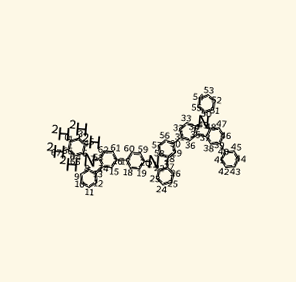 [2H]c1c([2H])c([2H])c(-n2c3ccccc3c3cc(-c4ccc(-n5c6ccccc6c6cc(-c7ccc8c(c7)c7cc(-c9ccccc9)ccc7n8-c7ccccc7)ccc65)cc4)ccc32)c([2H])c1[2H]